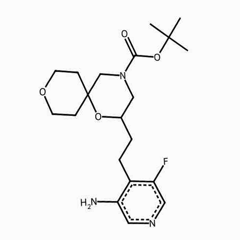 CC(C)(C)OC(=O)N1CC(CCc2c(N)cncc2F)OC2(CCOCC2)C1